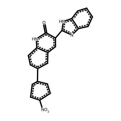 O=c1[nH]c2ccc(-c3ccc([N+](=O)[O-])cc3)cc2cc1-c1nc2ccccc2[nH]1